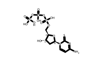 Nc1ccn([C@H]2C[C@H](O)[C@@H](COP(=O)(O)OP(=O)(O)OP(=O)(O)O)O2)c(=S)n1